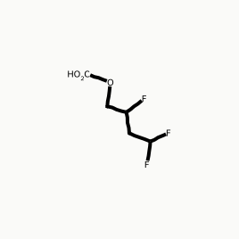 O=C(O)OCC(F)CC(F)F